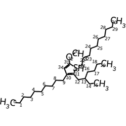 CCCCCCCCCCC1=C(CC(CC)CCCC)[SH](CCCCCCCCCC)C(OC)=C1